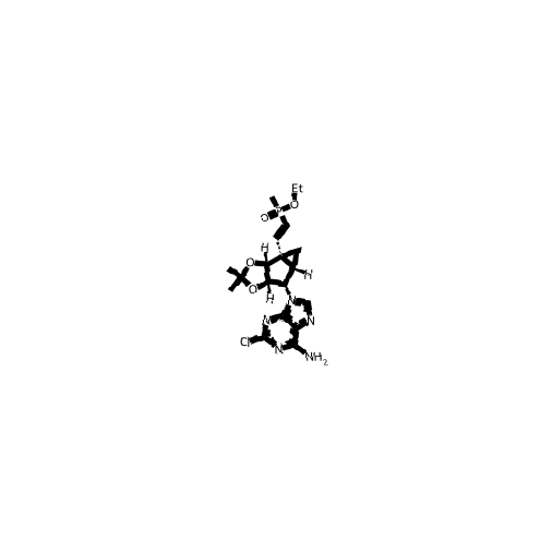 CCOP(C)(=O)/C=C/[C@]12C[C@@H]1[C@@H](n1cnc3c(N)nc(Cl)nc31)[C@@H]1OC(C)(C)O[C@@H]12